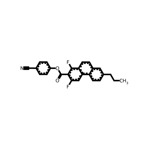 CCCc1ccc2c(ccc3c(F)c(C(=O)Oc4ccc(C#N)cc4)c(F)cc32)c1